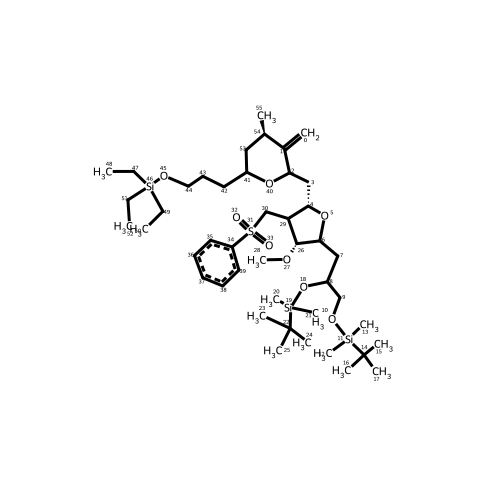 C=C1C(C[C@@H]2OC(CC(CO[Si](C)(C)C(C)(C)C)O[Si](C)(C)C(C)(C)C)[C@H](OC)C2CS(=O)(=O)c2ccccc2)OC(CCCO[Si](CC)(CC)CC)C[C@H]1C